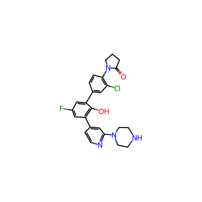 O=C1CCCN1c1ccc(-c2cc(F)cc(-c3ccnc(N4CCNCC4)c3)c2O)cc1Cl